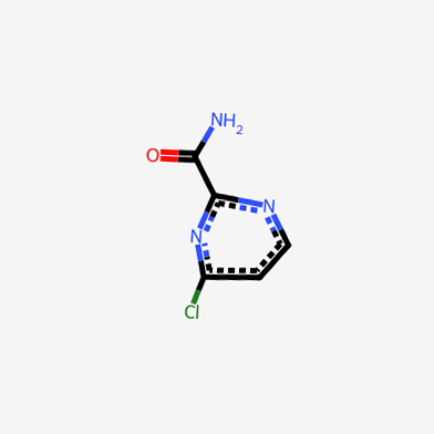 NC(=O)c1nccc(Cl)n1